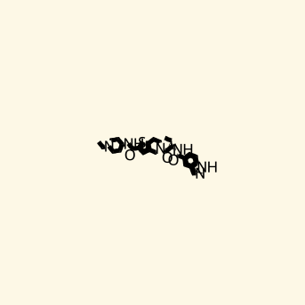 CC[C@@H](NC(=O)c1ccc2[nH]ncc2c1)C(=O)N1CCc2sc(C(=O)NC3CCN(CC)CC3)cc2C1